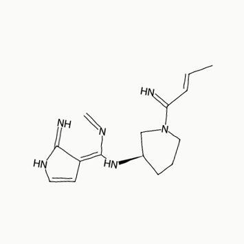 C=N/C(N[C@@H]1CCCN(C(=N)/C=C/C)C1)=C1/C=CNC1=N